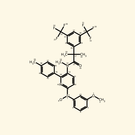 COc1cccc([S+]([O-])c2ccc(N(C)C(=O)C(C)(C)c3cc(C(F)(F)F)cc(C(F)(F)F)c3)c(-c3ccc(C)cc3)n2)c1